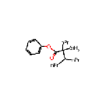 CCCC(CCC)C([SiH3])(CCC)C(=O)Oc1ccccc1